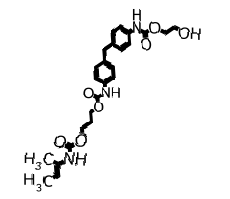 C/C=C(\C)NC(=O)OCCCOC(=O)Nc1ccc(Cc2ccc(NC(=O)OCCO)cc2)cc1